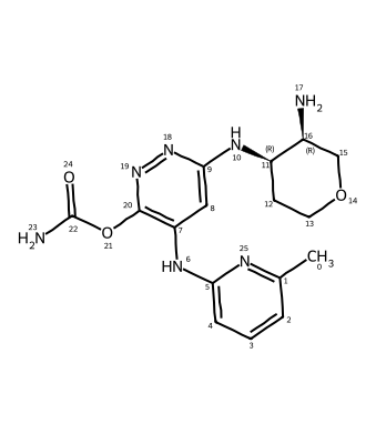 Cc1cccc(Nc2cc(N[C@@H]3CCOC[C@@H]3N)nnc2OC(N)=O)n1